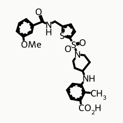 COc1cccc(C(=O)NCc2ccc(S(=O)(=O)N3CCC(Nc4cccc(C(=O)O)c4C)CC3)s2)c1